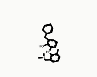 Cc1cccc(CN(C)C)c1Pc1cccc(CC2C=CC=CC2)c1O